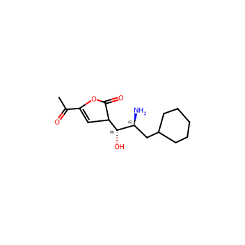 CC(=O)C1=CC([C@@H](O)[C@@H](N)CC2CCCCC2)C(=O)O1